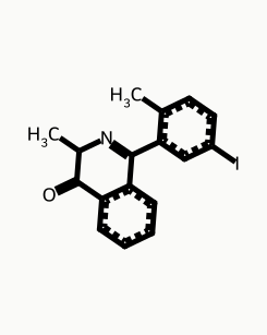 Cc1ccc(I)cc1C1=NC(C)C(=O)c2ccccc21